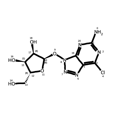 Nc1nc(Cl)c2nnn(O[C@H]3O[C@H](CO)[C@@H](O)[C@H]3O)c2n1